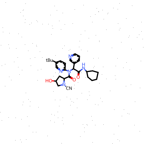 CC(C)(C)c1ccc(N(C(=O)C2CC(O)CN2C#N)C(C(=O)NC2CCCCC2)c2cccnc2)nc1